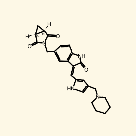 O=C1Nc2ccc(CN3C(=O)[C@H]4C[C@H]4C3=O)cc2C1=Cc1cc(CN2CCCCC2)c[nH]1